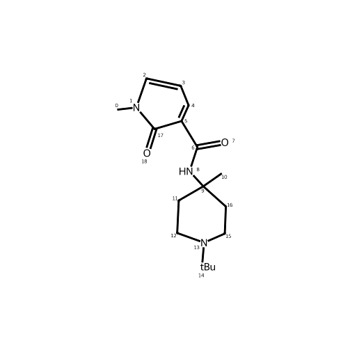 Cn1cccc(C(=O)NC2(C)CCN(C(C)(C)C)CC2)c1=O